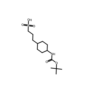 CC(C)(C)OC(=O)NC1CCC(CCCS(=O)(=O)O)CC1